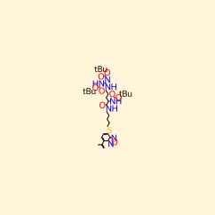 C=C(C)c1ccc(SCCCCCNC(=O)C(CCCN/C(=N/C(=O)OC(C)(C)C)NC(=O)OC(C)(C)C)NC(=O)OC(C)(C)C)c2nonc12